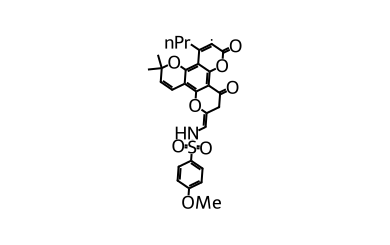 CCCc1[c]c(=O)oc2c3c(c4c(c12)OC(C)(C)C=C4)OC(=CNS(=O)(=O)c1ccc(OC)cc1)CC3=O